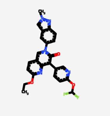 CCOc1ccc2cn(-c3ccc4nn(C)cc4c3)c(=O)c(-c3ccc(OC(F)F)nc3)c2n1